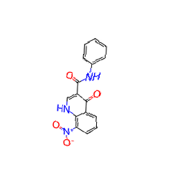 O=C(Nc1ccccc1)c1c[nH]c2c([N+](=O)[O-])cccc2c1=O